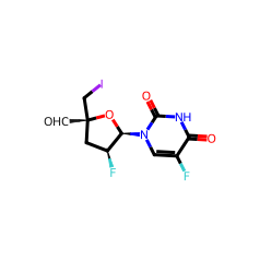 O=C[C@]1(CI)C[C@H](F)[C@H](n2cc(F)c(=O)[nH]c2=O)O1